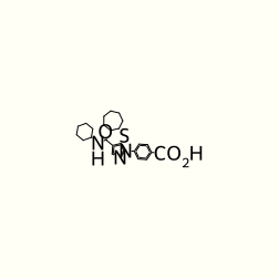 O=C(O)c1ccc(-n2ncc(C(=O)NC3CCCCC3)c2SC2CCCCCC2)cc1